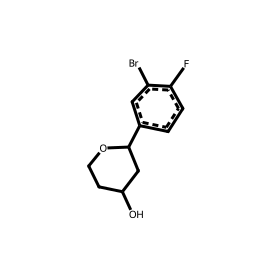 OC1CCOC(c2ccc(F)c(Br)c2)C1